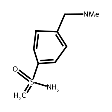 C=S(N)(=O)c1ccc(CNC)cc1